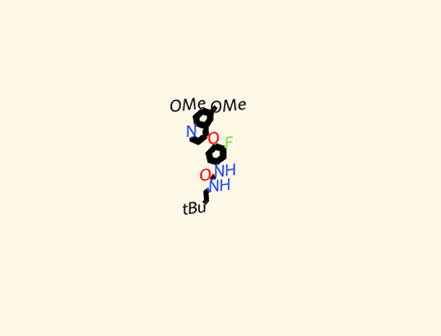 COc1cc2nccc(Oc3ccc(NC(=O)NCCC(C)(C)C)cc3F)c2cc1OC